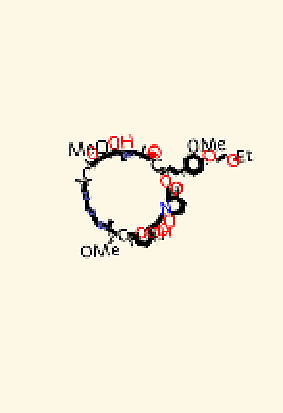 CCOCCO[C@@H]1CC[C@@H](CC[C@@H]2CC(=O)[C@H](C)/C=C(\C)[C@@H](O)[C@@H](OC)C(=O)[C@H](C)C[C@H](C)/C=C/C=C/C=C(\C)[C@@H](COC)C[C@@H]3CC[C@@H](C)[C@@](O)(O3)C(=O)C(=O)N3CCCC[C@H]3C(=O)O2)C[C@H]1OC